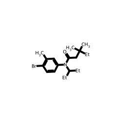 CCC(CC)N(C(=O)CC(C)(C)CC)c1ccc(Br)c(C)c1